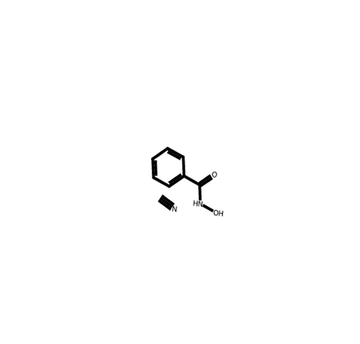 C#N.O=C(NO)c1ccccc1